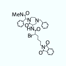 CNC(=O)C(c1ccccc1)N1CCN(Cc2ccccc2)CC(NC(=O)C(Br)CCCCN2C(=O)c3ccccc3C2=O)C1=O